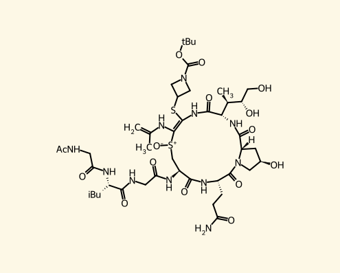 C=C(C)N/C1=C(\SC2CN(C(=O)OC(C)(C)C)C2)NC(=O)[C@H]([C@@H](C)[C@@H](O)CO)NC(=O)[C@@H]2C[C@@H](O)CN2C(=O)[C@H](CCC(N)=O)NC(=O)[C@@H](NC(=O)CNC(=O)[C@@H](NC(=O)CNC(C)=O)[C@@H](C)CC)C[S+]1[O-]